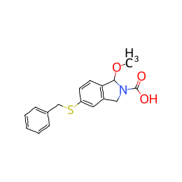 COC1c2ccc(SCc3ccccc3)cc2CN1C(=O)O